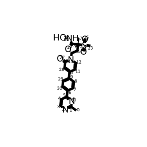 Cc1nccc(-c2ccc(-c3ccn(CC[C@](C)(C(=O)NO)S(C)(=O)=O)c(=O)c3)cc2)n1